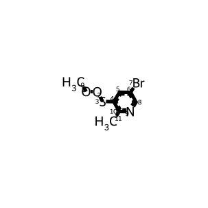 COOSc1cc(Br)cnc1C